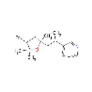 CC(CC1(C)CC(C(C)C)C(C)(C)O1)c1cccnc1